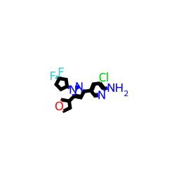 Nc1ncc(-c2cc(C3CCOC3)n(C3CCC(F)(F)C3)n2)cc1Cl